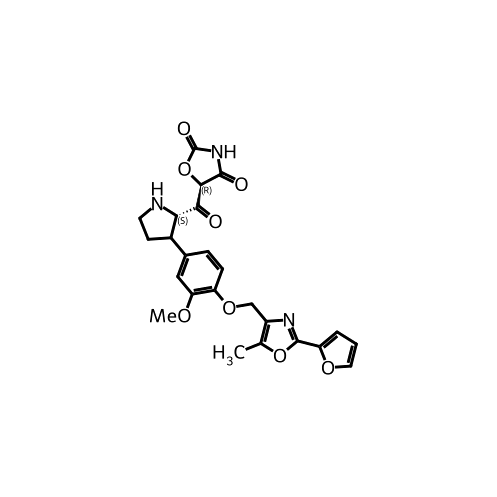 COc1cc(C2CCN[C@@H]2C(=O)[C@H]2OC(=O)NC2=O)ccc1OCc1nc(-c2ccco2)oc1C